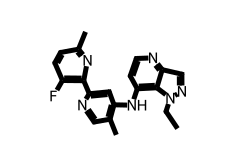 CCn1ncc2nccc(Nc3cc(-c4nc(C)ccc4F)ncc3C)c21